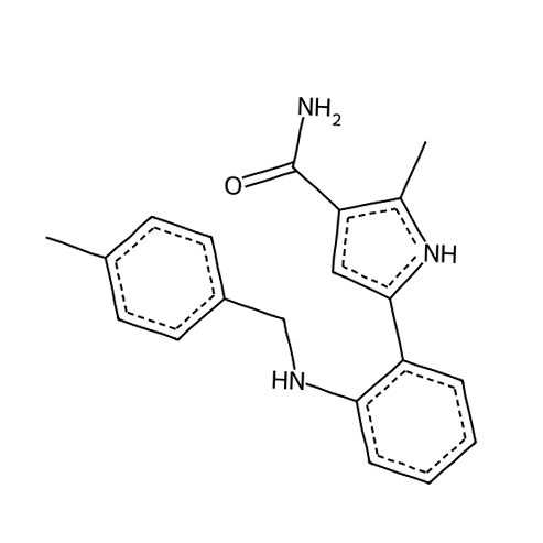 Cc1ccc(CNc2ccccc2-c2cc(C(N)=O)c(C)[nH]2)cc1